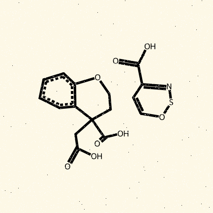 O=C(O)C1=NSOC=C1.O=C(O)CC1(C(=O)O)CCOc2ccccc21